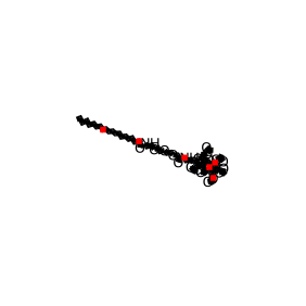 CCCCCCCCCCCCCCCCCCCCC(=O)NCCOCCOCCOCC(=O)NCCS[C@@H]1OC(COC(C)=O)C(O[C@@H]2OC(COC(C)=O)C(OC(C)=O)=CC2OC(C)=O)C(OC(C)=O)C1OC(C)=O